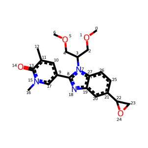 COCC(COC)n1c(-c2cc(C)c(=O)n(C)c2)nc2cc(C3CO3)ccc21